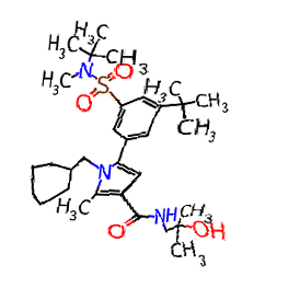 Cc1c(C(=O)NCC(C)(C)O)cc(-c2cc(C(C)(C)C)cc(S(=O)(=O)N(C)C(C)(C)C)c2)n1CC1CCCCC1